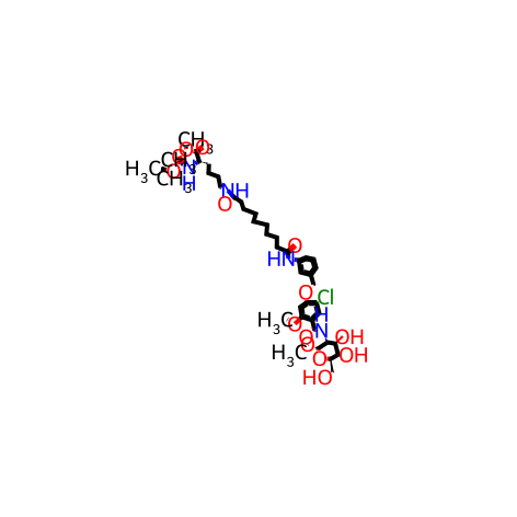 COC(=O)[C@H](CCCCNC(=O)CCCCCCCCC(=O)Nc1cccc(COc2cc(OC)c(C(=O)N[C@H]3[C@@H](OC)O[C@H](CO)[C@@H](O)[C@@H]3O)cc2Cl)c1)NC(=O)OC(C)(C)C